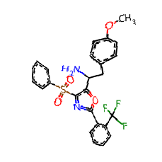 COc1ccc(CC(N)c2oc(-c3ccccc3C(F)(F)F)nc2S(=O)(=O)c2ccccc2)cc1